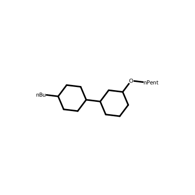 CCCCCOC1CCCC(C2CCC(CCCC)CC2)C1